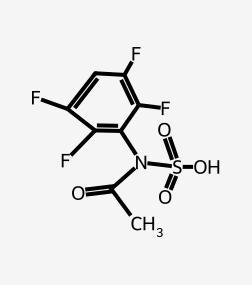 CC(=O)N(c1c(F)c(F)cc(F)c1F)S(=O)(=O)O